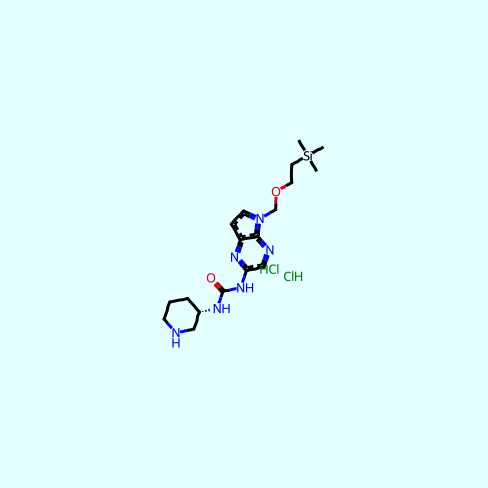 C[Si](C)(C)CCOCn1ccc2nc(NC(=O)N[C@H]3CCCNC3)cnc21.Cl.Cl